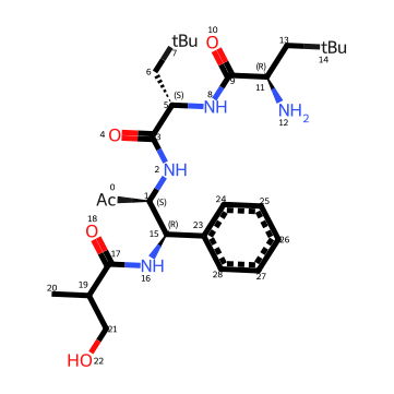 CC(=O)[C@@H](NC(=O)[C@H](CC(C)(C)C)NC(=O)[C@H](N)CC(C)(C)C)[C@H](NC(=O)C(C)CO)c1ccccc1